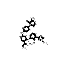 CCC(=O)c1cnc(Nc2ccc(-n3ccnc(C)c3=O)cn2)cc1Nc1cccc(-c2ncn(C)n2)c1OC